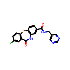 O=C(NCc1cncnc1)c1ccc2c(c1)NC(=O)c1cc(F)ccc1S2